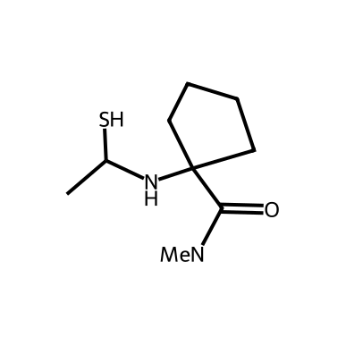 CNC(=O)C1(NC(C)S)CCCC1